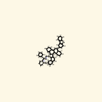 NC1C=CC=C/C1=C(/N=C/n1c2c3ccccc3ccc2c2c3c4ccccc4c(-c4ccc5sc6ccccc6c5c4)cc3c3ccccc3c21)c1ccccc1